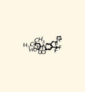 CC(C)(C)CC(C(=O)O)n1cc(CCN2CCC2)c(C(F)(F)F)cc1=O